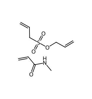 C=CC(=O)NC.C=CCOS(=O)(=O)CC=C